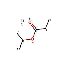 CCC(=O)OC(C)C.[Ti]